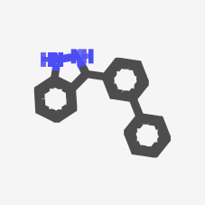 c1ccc(-c2cccc(C3NNc4ccccc43)c2)cc1